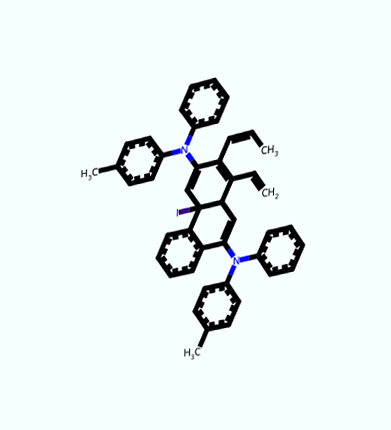 C=CC1=C(/C=C\C)C(N(c2ccccc2)c2ccc(C)cc2)=CC2(I)c3ccccc3C(N(c3ccccc3)c3ccc(C)cc3)=CC12